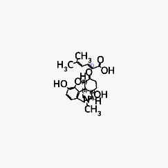 CC(C)=C/C=C/C(=O)O.CN1CC[C@]23c4c5ccc(O)c4O[C@H]2C(=O)CC[C@@]3(O)[C@H]1C5